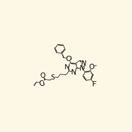 CCOC(=O)CSCCCc1nc(OCc2ccccc2)c2cnn(-c3ccc(F)cc3OC)c2n1